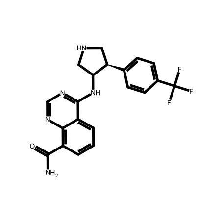 NC(=O)c1cccc2c(NC3CNC[C@H]3c3ccc(C(F)(F)F)cc3)ncnc12